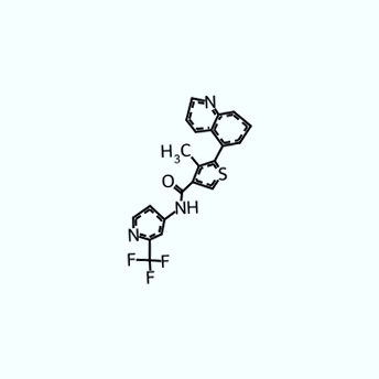 Cc1c(C(=O)Nc2ccnc(C(F)(F)F)c2)csc1-c1cccc2ncccc12